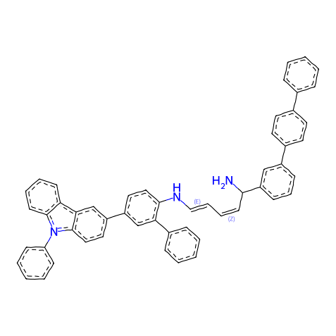 NC(/C=C\C=C\Nc1ccc(-c2ccc3c(c2)c2ccccc2n3-c2ccccc2)cc1-c1ccccc1)c1cccc(-c2ccc(-c3ccccc3)cc2)c1